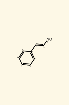 O=NC=Cc1ccccc1